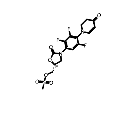 CS(=O)(=O)OC[C@H]1CN(c2cc(F)c(N3C=CC(=O)CC3)c(F)c2F)C(=O)O1